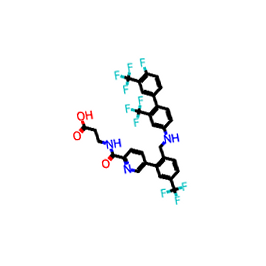 O=C(O)CCNC(=O)c1ccc(-c2cc(C(F)(F)F)ccc2CNc2ccc(-c3ccc(F)c(C(F)(F)F)c3)c(C(F)(F)F)c2)cn1